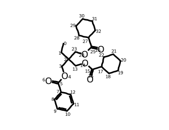 CCC(COC(=O)c1ccccc1)(COC(=O)C1CCCCC1)COC(=O)C1CCCCC1